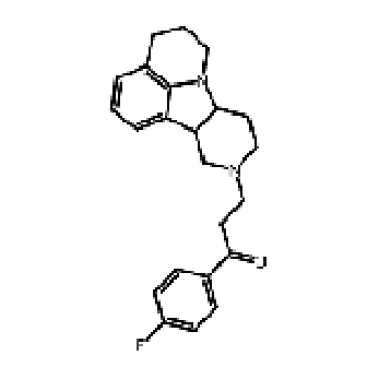 O=C(CCN1CCC2C(C1)c1cccc3c1N2CCC3)c1ccc(F)cc1